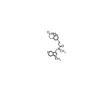 CN(Cc1cn(C)c2ccncc12)C(=O)C=Cc1cnc2c(c1)CCC(=O)N2